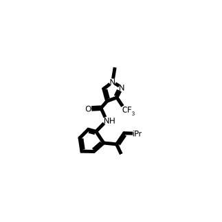 CC(=CC(C)C)c1ccccc1NC(=O)c1cn(C)nc1C(F)(F)F